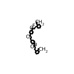 C=Cc1ccccc1CCC(=O)Oc1ccc(/C=C/C(=O)c2ccc(C(=O)CC(F)c3ccccc3C=C)cc2)cc1